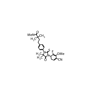 CNC(=O)C(C)(C)CCc1ccc(N2C(=S)N(C3CC=C(C#N)C(OC)=C3F)C(=O)C2(C)C)cc1